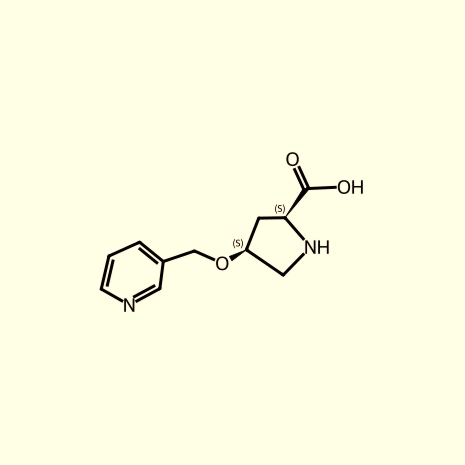 O=C(O)[C@@H]1C[C@H](OCc2cccnc2)CN1